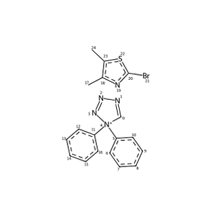 C1=NN=N[N+]1(c1ccccc1)c1ccccc1.Cc1nc(Br)sc1C